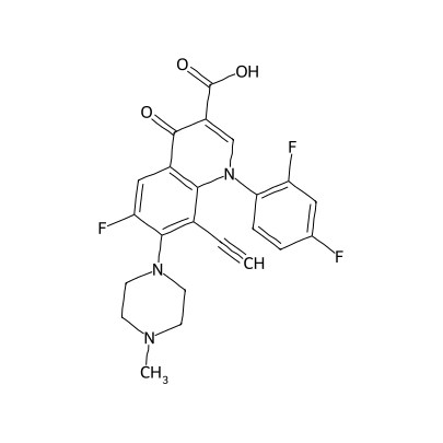 C#Cc1c(N2CCN(C)CC2)c(F)cc2c(=O)c(C(=O)O)cn(-c3ccc(F)cc3F)c12